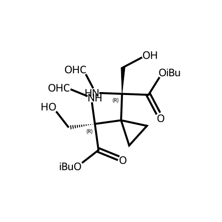 CC(C)COC(=O)[C@@](CO)(NC=O)C1([C@](CO)(NC=O)C(=O)OCC(C)C)CC1